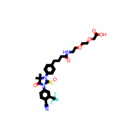 CC1(C)C(=O)N(c2ccc(C#N)c(C(F)(F)F)c2)C(=S=O)N1c1ccc(CCCC(=O)NCCOCCOCC(=O)O)cc1